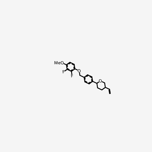 C=CC1CCC(c2ccc(COc3ccc(OC)c(F)c3F)cc2)OC1